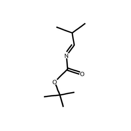 CC(C)/C=N/C(=O)OC(C)(C)C